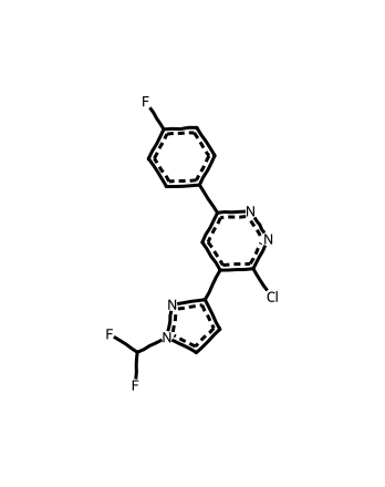 Fc1ccc(-c2cc(-c3ccn(C(F)F)n3)c(Cl)nn2)cc1